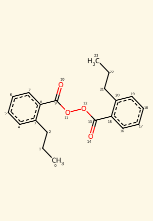 CCCc1ccccc1C(=O)OOC(=O)c1ccccc1CCC